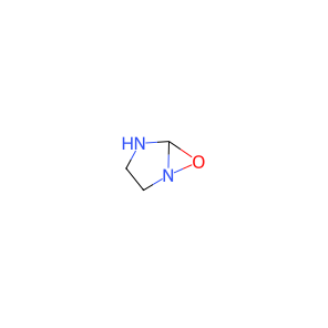 C1CN2OC2N1